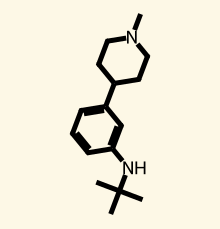 CN1CCC(c2cccc(NC(C)(C)C)c2)CC1